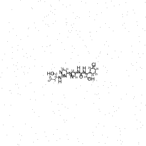 CC(C)CC(CO)Nc1nccc(-n2cc(NC(=O)N[C@H](CO)c3cccc(Cl)c3)cn2)n1